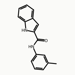 Cc1cccc(NC(=O)c2cc3ccccc3[nH]2)c1